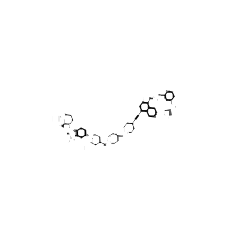 Cc1ccc(NC2CNC2)cc1C(=O)N[C@H](C)c1ccc(C#CC2CCN(CC3(F)CCN(C(=O)C4CCN(c5ccc6c(c5)n(C)c(=O)n6C5CCC(=O)NC5=O)CC4)CC3)CC2)c2ccccc12